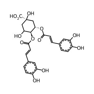 O=C(/C=C/c1ccc(O)c(O)c1)O[C@H]1C[C@@](O)(C(=O)O)CC(O)[C@@H]1OC(=O)/C=C/c1ccc(O)c(O)c1